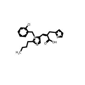 CCCCc1ncc(C=C(Cc2cccs2)C(=O)O)n1Cc1ccccc1Cl